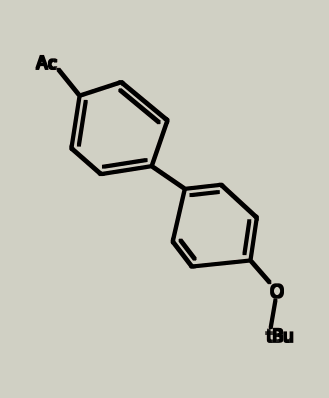 CC(=O)c1ccc(-c2ccc(OC(C)(C)C)cc2)cc1